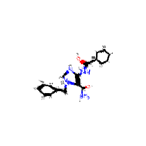 NC(=O)c1c(NC(=O)C2CCCCC2)ncn1Cc1ccccc1